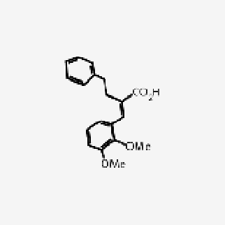 COc1cccc(/C=C(\CCc2ccccc2)C(=O)O)c1OC